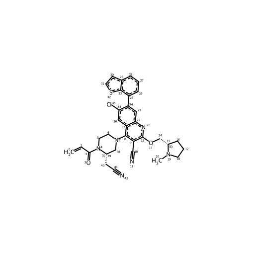 C=CC(=O)N1CCN(c2c(C#N)c(OC[C@@H]3CCCN3C)nc3cc(-c4cccc5ccsc45)c(Cl)cc23)C[C@@H]1CC#N